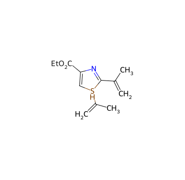 C=C(C)C1=NC(C(=O)OCC)=C[SH]1C(=C)C